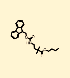 CCCCOC(=O)C(C)(C)CCNC(=O)OCC1c2ccccc2-c2ccccc21